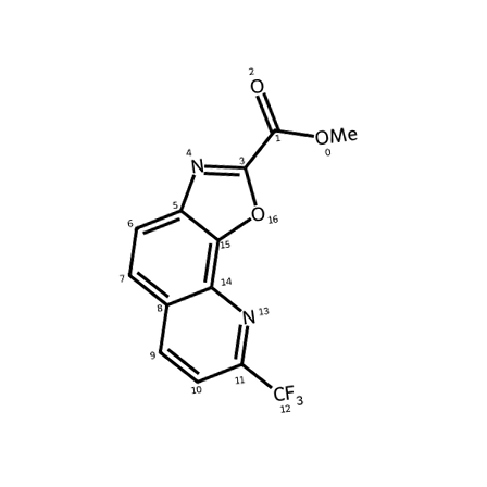 COC(=O)c1nc2ccc3ccc(C(F)(F)F)nc3c2o1